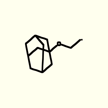 [CH2]COC12CC3CC(CC(C3)C1)C2